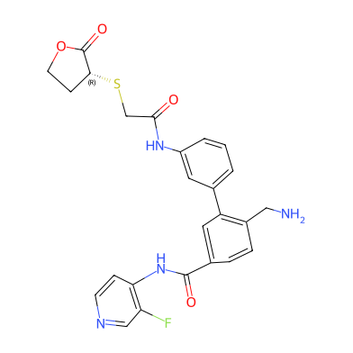 NCc1ccc(C(=O)Nc2ccncc2F)cc1-c1cccc(NC(=O)CS[C@@H]2CCOC2=O)c1